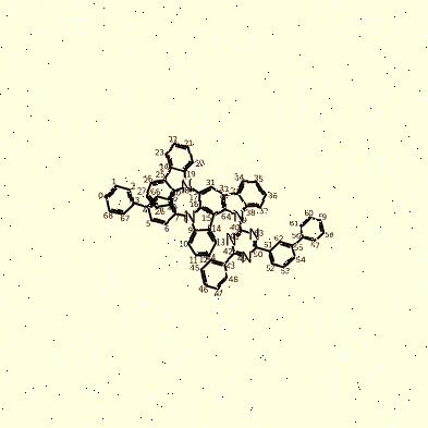 c1ccc(-c2ccc(-n3c4ccccc4c4c3c(-n3c5ccccc5c5ccccc53)cc3c5ccccc5n(-c5nc(-c6ccccc6)nc(-c6cccc(-c7ccccc7)c6)n5)c34)cc2)cc1